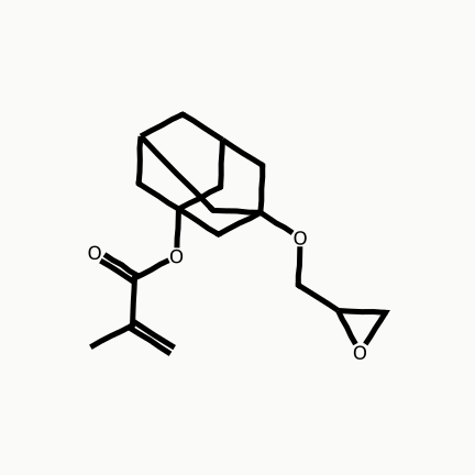 C=C(C)C(=O)OC12CC3CC(CC(OCC4CO4)(C3)C1)C2